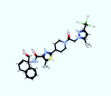 Cc1sc(C2CCN(C(=O)Cn3nc(C(F)(F)F)cc3C)CC2)nc1C(=O)N[C@]1(C=O)C=CCc2ccccc21